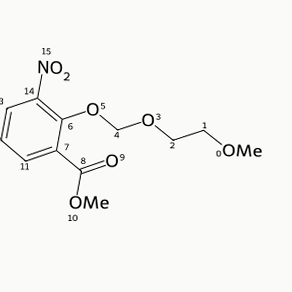 COCCOCOc1c(C(=O)OC)cccc1[N+](=O)[O-]